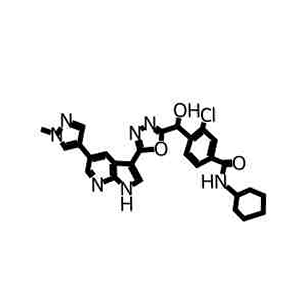 Cn1cc(-c2cnc3[nH]cc(-c4nnc(C(O)c5ccc(C(=O)NC6CCCCC6)cc5Cl)o4)c3c2)cn1